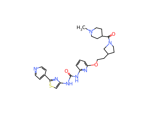 CN1CCC(C(=O)N2CCC(CCOc3cccc(NC(=O)Nc4csc(-c5ccncc5)n4)n3)C2)CC1